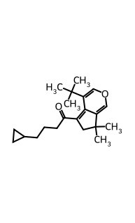 CC(C)(C)C1=COC=C2C1=C(C(=O)CCCC1CC1)CC2(C)C